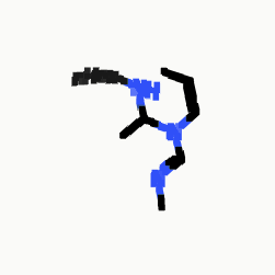 C/C=C\N(/C=N/C)C(C)NCCCCCC